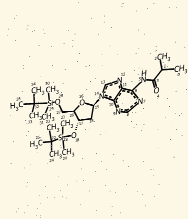 CC(C)C(=O)Nc1ncnc2c1ncn2[C@H]1C[C@H](O[Si](C)(C)C(C)(C)C)[C@@H](CO[Si](C)(C)C(C)(C)C)O1